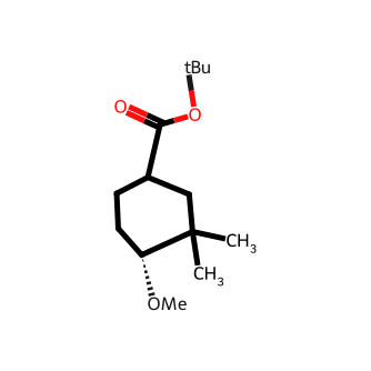 CO[C@@H]1CCC(C(=O)OC(C)(C)C)CC1(C)C